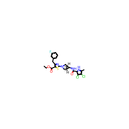 CCOC(=O)c1sc(N2C[C@@H]3C(NC(=O)c4[nH]c(C)c(Cl)c4Cl)[C@@H]3C2)nc1Cc1cccc(F)c1